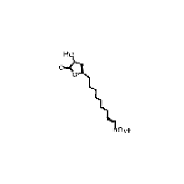 CCCCCCCC/C=C/CCCCCCCC1CC(O)C(=O)O1